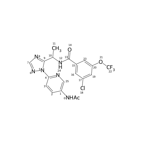 CC(=O)Nc1ccc(-n2ncnc2C(C)NC(=O)c2cc(Cl)cc(OC(F)(F)F)c2)nc1